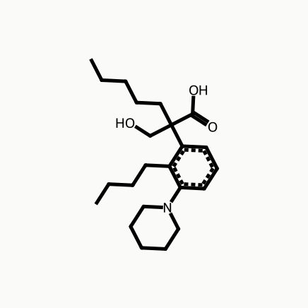 CCCCCC(CO)(C(=O)O)c1cccc(N2CCCCC2)c1CCCC